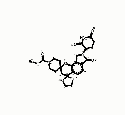 CC(C)(C)OC(=O)N1CCC2(CC1)CC1(OCCO1)c1ccc3c(c1O2)CN(C1CCC(=O)NC1=O)C3=O